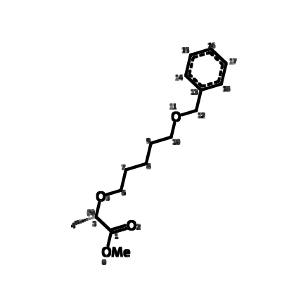 COC(=O)[C@H](C)OCCCCCOCc1ccccc1